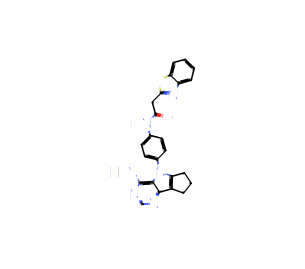 Nc1ncnc2c3c(n(-c4ccc(NC(=O)Cc5nc6ccccc6s5)cc4)c12)CCC3